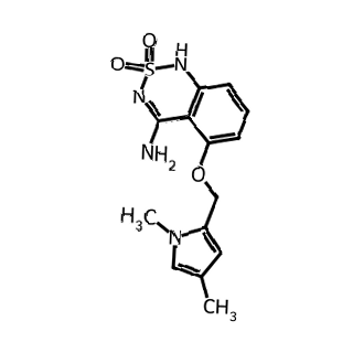 Cc1cc(COc2cccc3c2C(N)=NS(=O)(=O)N3)n(C)c1